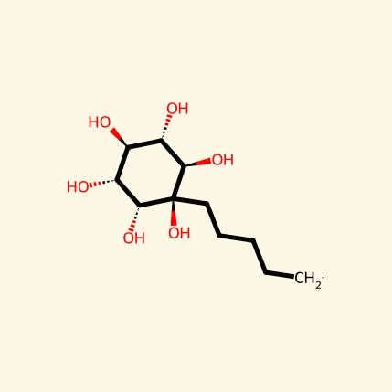 [CH2]CCCC[C@]1(O)[C@H](O)[C@H](O)[C@@H](O)[C@H](O)[C@H]1O